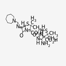 CC1(C)S[C@@H]2CC(=O)N2[C@@]1(C(=N)N)C(=O)O.CC1(C)S[C@@H]2[C@H](N=CN3CCCCCC3)C(=O)N2[C@H]1C(=O)O